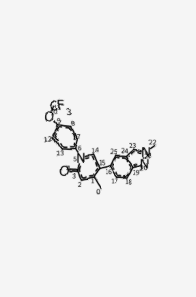 Cc1cc(=O)n(-c2ccc(OC(F)(F)F)cc2)cc1-c1ccc2nn(C)cc2c1